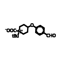 CC(C)(C)[N+]1(C(=O)[O-])CCC(Oc2ccc(C=O)cc2)CC1